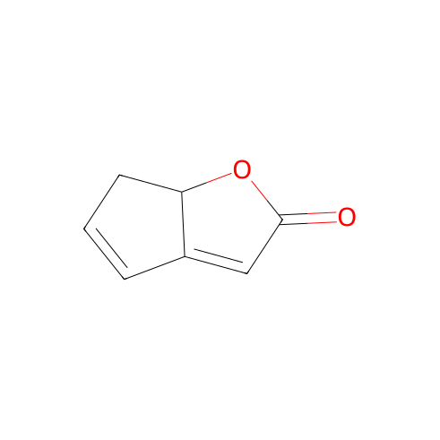 O=C1C=C2C=CCC2O1